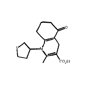 CCOC(=O)C1=C(C)N(C2CCSC2)C2=C(C1)C(=O)CCC2